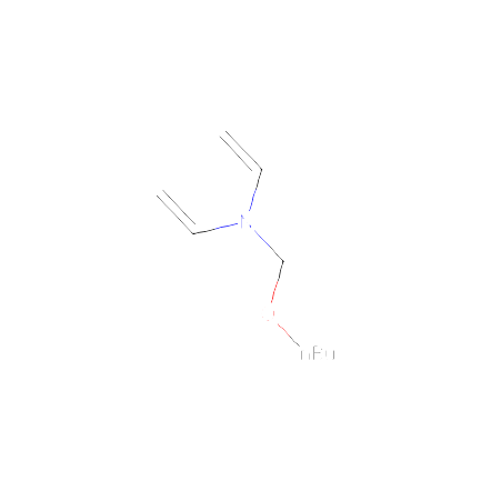 C=CN(C=C)COCCCC